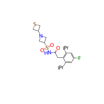 CC(C)c1cc(F)cc(C(C)C)c1CC(=O)NS(=O)(=O)C1CN(C2CSC2)C1